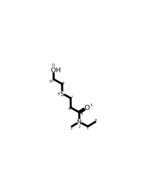 CCN(C)C(=O)CCSCCO